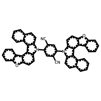 N#Cc1cc(-n2c3ccc4ccccc4c3c3c4c(ccc32)oc2ccccc24)c(C#N)cc1-n1c2ccc3ccccc3c2c2c3c(ccc21)oc1ccccc13